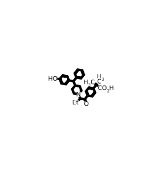 CCC(C(=O)c1ccc(C(C)(C)C(=O)O)cc1)N1CCC(C(c2ccccc2)c2ccc(O)cc2)CC1